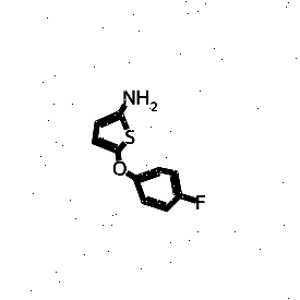 Nc1ccc(Oc2ccc(F)cc2)s1